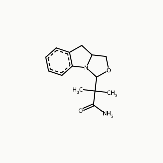 CC(C)(C(N)=O)C1OCC2Cc3ccccc3N21